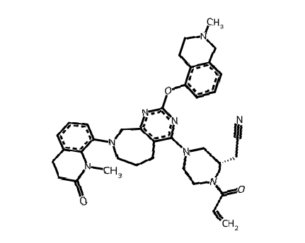 C=CC(=O)N1CCN(c2nc(Oc3cccc4c3CCN(C)C4)nc3c2CCCN(c2cccc4c2N(C)C(=O)CC4)C3)C[C@@H]1CC#N